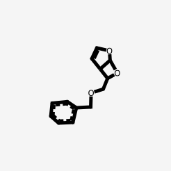 C1=CC2C(COCc3ccccc3)OC2O1